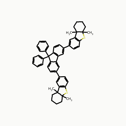 CC12CCCCC1(C)c1cc(-c3ccc4c(c3)-c3cc(-c5ccc6c(c5)C5(C)CCCCC5(C)S6)ccc3C4(c3ccccc3)c3ccccc3)ccc1S2